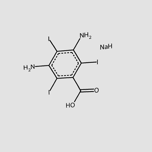 Nc1c(I)c(N)c(I)c(C(=O)O)c1I.[NaH]